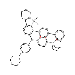 CC1(C)c2ccccc2-c2ccc(N(c3ccc(C4CCCCC4)cc3)c3ccc(C45CCC(CC4)C5)cc3)c(-c3ccc(-c4ccccc4)cc3)c21